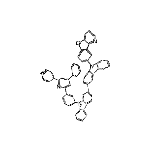 c1ccc(-c2cc(-c3ccccc3)nc(-c3cccc(-n4c5ccccc5c5ccc(-c6ccc7c(c6)c6ccccc6n7-c6ccc7oc8cccnc8c7c6)cc54)c3)c2)cc1